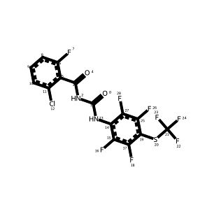 O=C(NC(=O)c1c(F)cccc1Cl)Nc1c(F)c(F)c(SC(F)(F)F)c(F)c1F